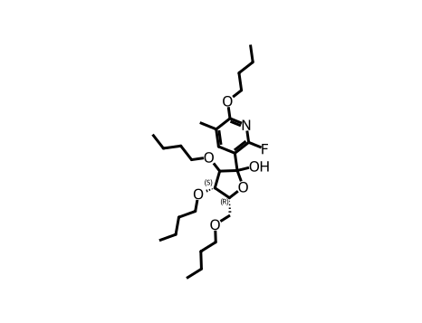 CCCCOC[C@H]1OC(O)(c2cc(C)c(OCCCC)nc2F)C(OCCCC)[C@H]1OCCCC